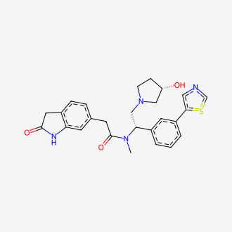 CN(C(=O)Cc1ccc2c(c1)NC(=O)C2)[C@H](CN1CC[C@H](O)C1)c1cccc(-c2cncs2)c1